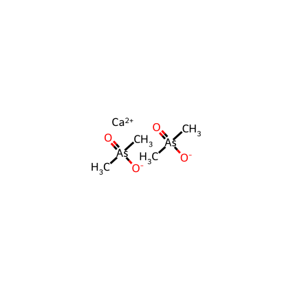 C[As](C)(=O)[O-].C[As](C)(=O)[O-].[Ca+2]